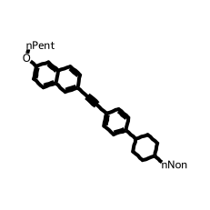 CCCCCCCCCC1CCC(c2ccc(C#Cc3ccc4cc(OCCCCC)ccc4c3)cc2)CC1